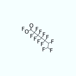 O=C(OF)C(F)(F)C(F)(F)C(F)(F)C(F)(F)C(F)C(F)F